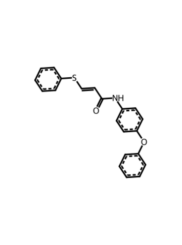 O=C(C=CSc1ccccc1)Nc1ccc(Oc2ccccc2)cc1